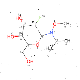 CON(C(C)C)C1OC(CO)[C@@H](O)[C@H](O)C1F